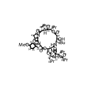 CC[C@H](C)[C@H]1NC(=O)[C@@H](NC(=O)[C@@H](CC(C)C)N(C)C(=O)[C@@H](NC(=O)C(C)C)C(C)C)[C@@H](C)OC(=O)[C@H](Cc2ccc(OC)cc2)N(C)C(=O)C2CCCN2C(=O)[C@H](CC(C)C)NC(=O)[C@H](C(C)C)OC(=O)C[C@@H]1O